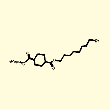 CCCCCCCOC(=O)C1CCC(C(=O)OCCCCCCCCC(C)C)CC1